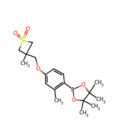 Cc1cc(OCC2(C)CS(=O)(=O)C2)ccc1B1OC(C)(C)C(C)(C)O1